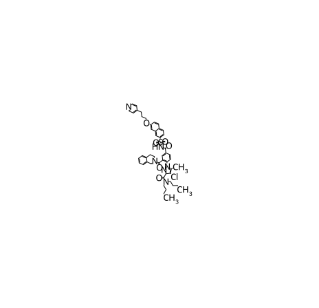 CCCCN(CCCC)C(=O)c1nn(-c2ccc(C(=O)NS(=O)(=O)c3ccc4ccc(OCCCc5ccncc5)cc4c3)cc2C(=O)N2CCc3ccccc3C2)c(C)c1Cl